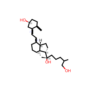 C=C1CC[C@H](O)C/C1=C/C=C1\CCC[C@@]2(C)[C@H]1CC[C@@H]2[C@@](C)(O)CCCC(C)CO